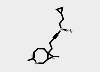 C/C1=C/CCC2(CCC#CN(N)CCC3CC3)C(CN1)[C@@H]2C